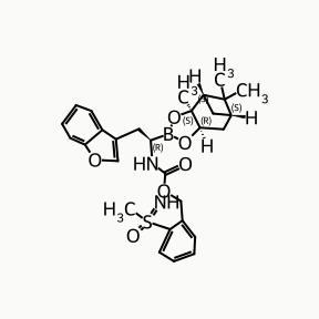 CC1(C)[C@@H]2C[C@H]3OB([C@H](Cc4coc5ccccc45)NC(=O)OCc4ccccc4S(C)(=N)=O)O[C@@]3(C)[C@H]1C2